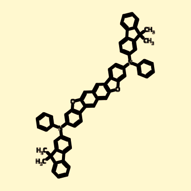 CC1(C)c2ccccc2-c2ccc(N(c3ccccc3)c3ccc4c(c3)oc3cc5cc6c(cc5cc34)oc3cc(N(c4ccccc4)c4ccc5c(c4)C(C)(C)c4ccccc4-5)ccc36)cc21